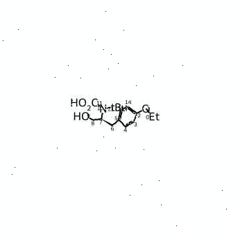 CCOc1ccc(C[C@@H](CO)N(C(=O)O)C(C)(C)C)cc1